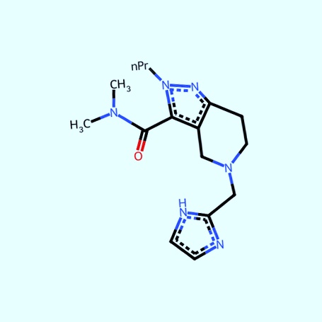 CCCn1nc2c(c1C(=O)N(C)C)CN(Cc1ncc[nH]1)CC2